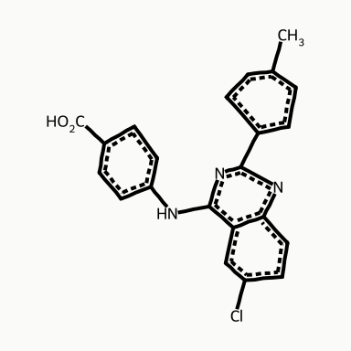 Cc1ccc(-c2nc(Nc3ccc(C(=O)O)cc3)c3cc(Cl)ccc3n2)cc1